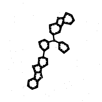 c1ccc(N(c2cccc(-c3ccc4c(c3)sc3c5ccccc5sc43)c2)c2ccc3sc4ccccc4c3c2)cc1